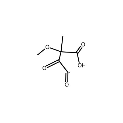 COC(C)(C(=O)O)C(=O)[C]=O